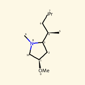 CO[C@@H]1CC([C@H](C)CC(C)C)N(C)C1